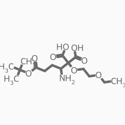 CCOCCOC(C(=O)O)(C(=O)O)C(N)CCC(=O)OC(C)(C)C